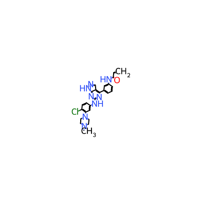 C=CC(=O)Nc1cccc(-c2nc(Nc3ccc(Cl)c(N4CCN(C)CC4)c3)nc3[nH]ncc23)c1